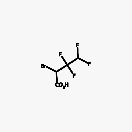 O=C(O)C(Br)C(F)(F)C(F)F